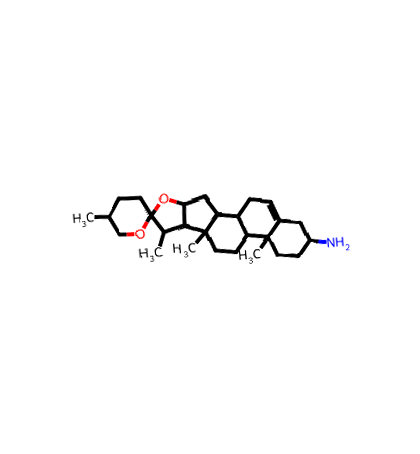 CC1CCC2(OC1)OC1CC3C4CC=C5CC(N)CCC5(C)C4CCC3(C)C1C2C